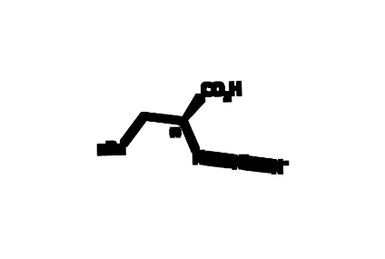 CCCCC[C@H](N=[N+]=[N-])C(=O)O